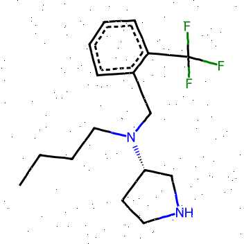 CCCCN(Cc1ccccc1C(F)(F)F)[C@H]1CCNC1